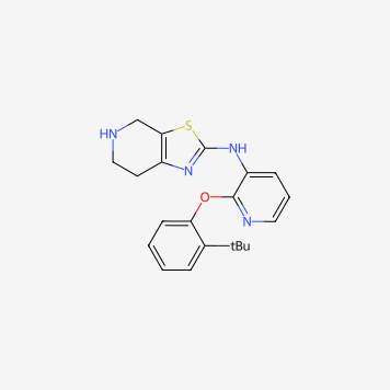 CC(C)(C)c1ccccc1Oc1ncccc1Nc1nc2c(s1)CNCC2